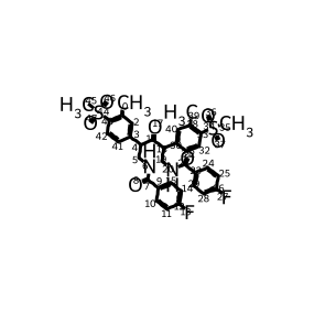 Cc1cc(C(CNC(=O)c2ccc(F)cc2)C(=O)C(CNC(=O)c2ccc(F)cc2)c2ccc(S(C)(=O)=O)c(C)c2)ccc1S(C)(=O)=O